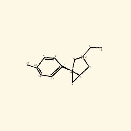 CCN1CC2C[C@]2(c2ccc(C)cc2)C1